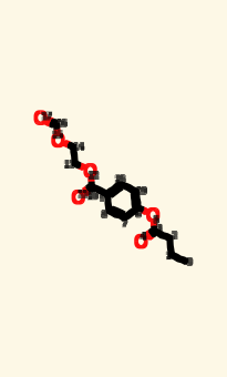 CCCC(=O)Oc1ccc(C(=O)OCCOC=O)cc1